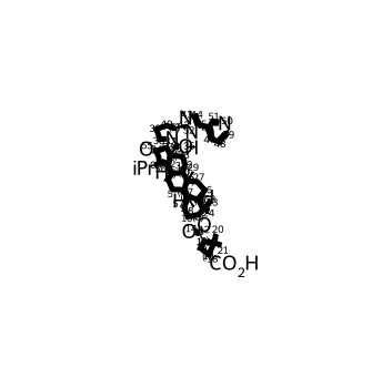 CC(C)C1=C2[C@H]3CC[C@@H]4[C@@]5(C)CC[C@H](OC(=O)[C@H]6C[C@@H](C(=O)O)C6(C)C)C(C)(C)[C@@H]5CC[C@@]4(C)[C@]3(C)CC[C@@]2(C(=O)N2CCC[C@H]2c2ncc(-c3cccnc3)[nH]2)CC1=O